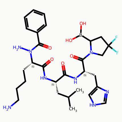 CC(C)C[C@H](NC(=O)[C@H](CCCCN)N(N)C(=O)c1ccccc1)C(=O)N[C@@H](Cc1c[nH]cn1)C(=O)N1CC(F)(F)CC1B(O)O